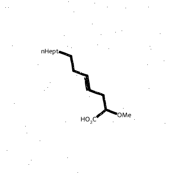 CCCCCCCCC/C=C/CC(OC)C(=O)O